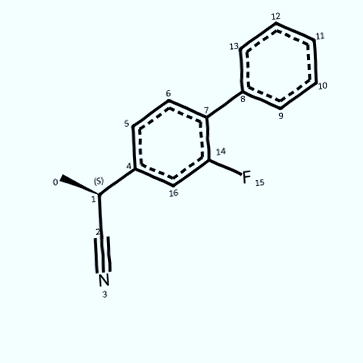 C[C@H](C#N)c1ccc(-c2ccccc2)c(F)c1